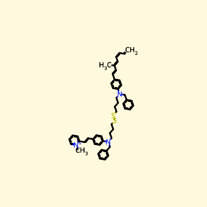 C=C\C=C/C=C(C)/C=C/c1ccc(N(CCCCSSCCCCN(Cc2ccccc2)c2ccc(/C=C/c3cccc[n+]3C)cc2)Cc2ccccc2)cc1